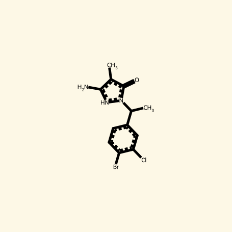 Cc1c(N)[nH]n(C(C)c2ccc(Br)c(Cl)c2)c1=O